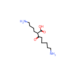 NCCCCCC(=O)C(CCCCN)C(=O)O